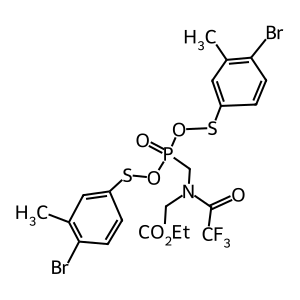 CCOC(=O)CN(CP(=O)(OSc1ccc(Br)c(C)c1)OSc1ccc(Br)c(C)c1)C(=O)C(F)(F)F